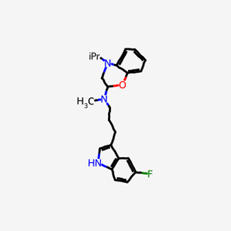 CC(C)N1CC(N(C)CCCc2c[nH]c3ccc(F)cc23)Oc2ccccc21